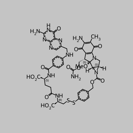 CO[C@@]12[C@H](COC(N)=O)C3=C(C(=O)C(C)=C(N)C3=O)N1C[C@H]1[C@@H]2N1C(=O)OCc1ccc(SSC[C@H](NC(=O)CC[C@H](NC(=O)c2ccc(NCc3cnc4nc(N)[nH]c(=O)c4n3)cc2)C(=O)O)C(=O)O)cc1